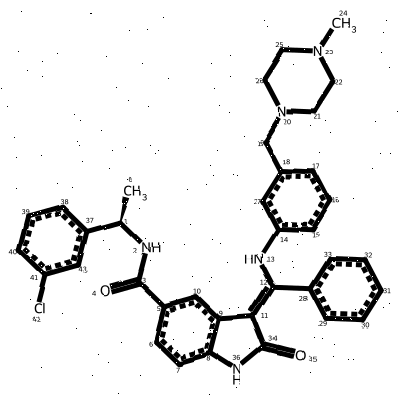 C[C@@H](NC(=O)c1ccc2c(c1)C(=C(Nc1cccc(CN3CCN(C)CC3)c1)c1ccccc1)C(=O)N2)c1cccc(Cl)c1